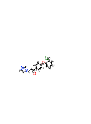 O=C(CCn1ccnc1)c1ccc(Oc2ccccc2Cl)cc1